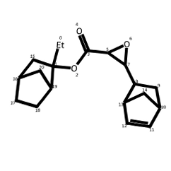 CCC1(OC(=O)C2OC2C2CC3C=CC2C3)CC2CCC1C2